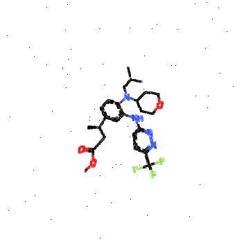 COC(=O)C[C@@H](C)c1ccc(N(CC(C)C)C2CCOCC2)c(Nc2ccc(C(F)(F)F)nn2)c1